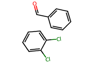 Clc1ccccc1Cl.O=Cc1ccccc1